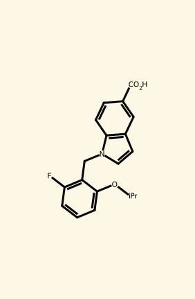 CC(C)Oc1cccc(F)c1Cn1ccc2cc(C(=O)O)ccc21